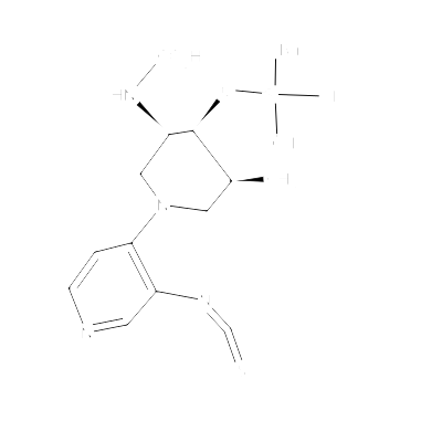 C[C@H]1CN(c2ccncc2N=C=S)C[C@@H](NC(=O)O)[C@H]1O[Si](C)(C)C(C)(C)C